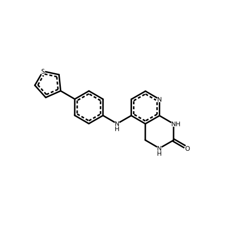 O=C1NCc2c(Nc3ccc(-c4ccsc4)cc3)ccnc2N1